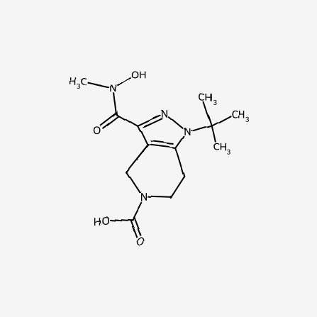 CN(O)C(=O)c1nn(C(C)(C)C)c2c1CN(C(=O)O)CC2